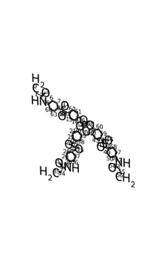 C=CC(=O)Nc1ccc(S(=O)(=O)c2ccc(OP(=O)(Oc3ccc(S(=O)(=O)c4ccc(NC(=O)C=C)cc4)cc3)Oc3ccc(S(=O)(=O)c4ccc(NC(=O)C=C)cc4)cc3)cc2)cc1